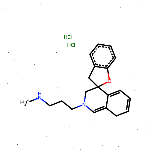 CNCCCN1C=C2CC=CC=C2C2(Cc3ccccc3O2)C1.Cl.Cl